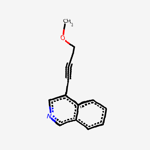 COCC#Cc1cncc2ccccc12